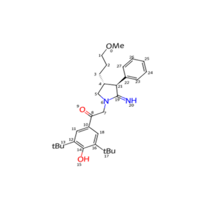 COCCC[C@H]1CN(CC(=O)c2cc(C(C)(C)C)c(O)c(C(C)(C)C)c2)C(=N)[C@@H]1c1ccccc1